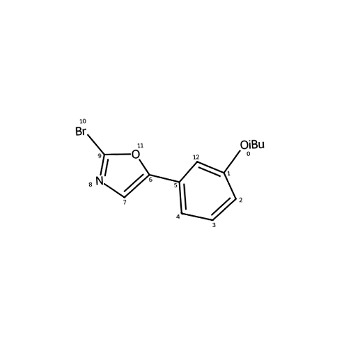 CC(C)COc1cccc(-c2cnc(Br)o2)c1